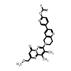 COCc1cc(=O)n2nc(N3CCc4ncc(-c5ccc(OC(F)F)nc5)cc4C3)c(C)c(C)c2n1